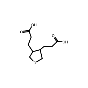 O=C(O)CCC1COCC1CCC(=O)O